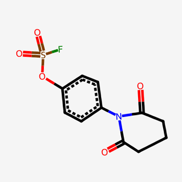 O=C1CCCC(=O)N1c1ccc(OS(=O)(=O)F)cc1